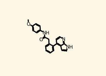 COc1ccc(NC(=O)Cc2ccccc2-c2ccnc3[nH]ccc23)cc1